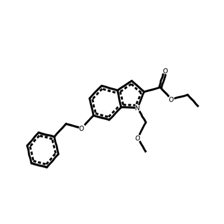 CCOC(=O)c1cc2ccc(OCc3ccccc3)cc2n1COC